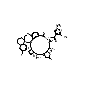 COc1nn(C)cc1C(=O)N[S@@]1(=O)=NC(=O)c2ccc3c(c2)N(C[C@@H]2CC[C@H]2[C@@H](OC)C[C@H]2CC(=O)O[C@@H]2[C@H](C)C1)C[C@@]1(CCCc2cc(Cl)ccc21)CO3